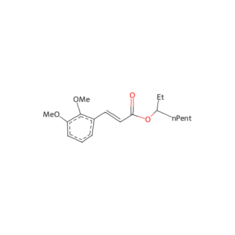 CCCCCC(CC)OC(=O)/C=C/c1cccc(OC)c1OC